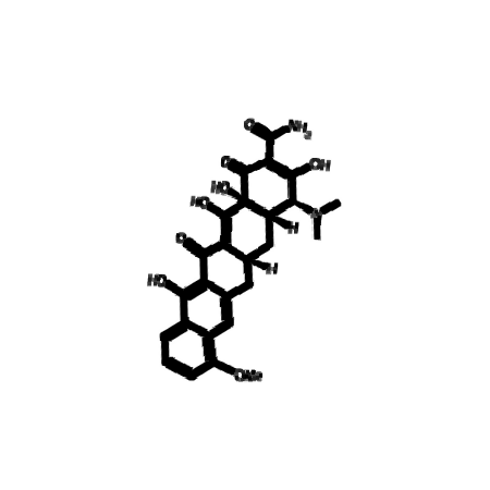 COc1cccc2c(O)c3c(cc12)C[C@H]1C[C@H]2[C@H](N(C)C)C(O)=C(C(N)=O)C(=O)[C@@]2(O)C(O)=C1C3=O